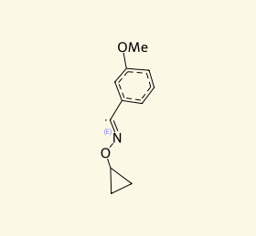 COc1cccc(/[C]=N/OC2CC2)c1